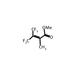 COC(=O)C(C)=C(C(F)(F)F)C(F)(F)F